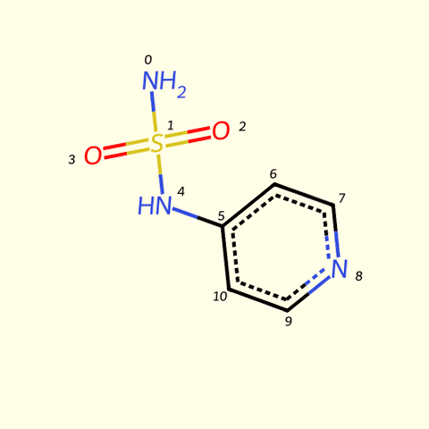 NS(=O)(=O)Nc1ccncc1